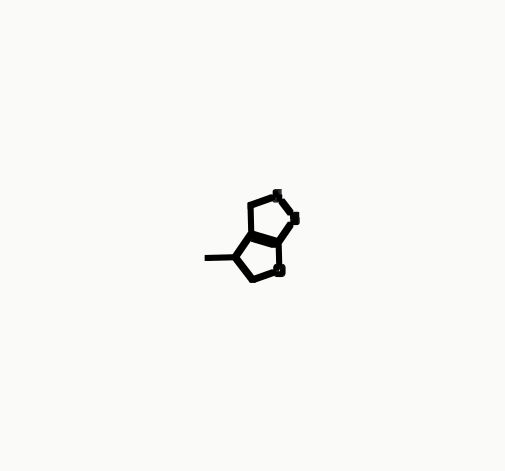 CC1COC2=C1CSS2